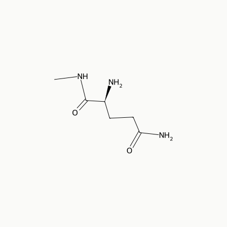 CNC(=O)[C@@H](N)CCC(N)=O